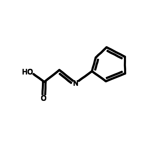 O=C(O)C=Nc1ccccc1